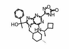 C[C@@H](Nc1nc(-c2noc(=O)[nH]2)nc2nc(C(C)(O)c3ccccc3)n(C[C@H]3CC[C@H](C)CC3)c12)C1CCC1